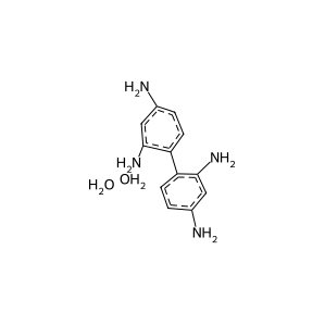 Nc1ccc(-c2ccc(N)cc2N)c(N)c1.O.O